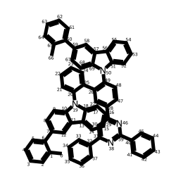 Cc1ccccc1-c1ccc2c(c1)c1ccccc1n2-c1ccccc1-c1cc(-c2cc(-c3ccccc3)nc(-c3ccccc3)n2)ccc1-n1c2ccccc2c2cc(-c3ccccc3C)ccc21